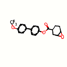 O=C(Oc1ccc(-c2ccc(OC(F)(F)F)cc2)cc1)C1CCC2OC2C1